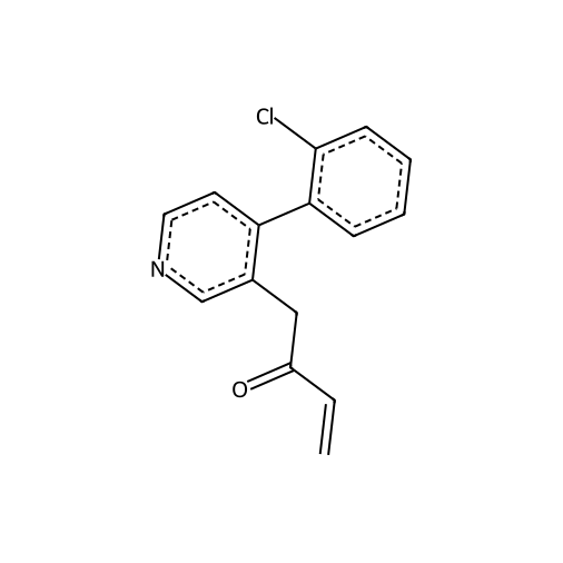 C=CC(=O)Cc1cnccc1-c1ccccc1Cl